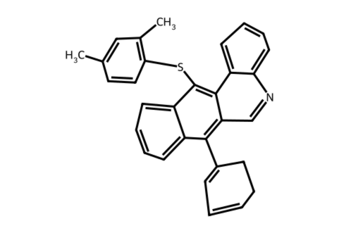 Cc1ccc(Sc2c3ccccc3c(C3=CC=CCC3)c3cnc4ccccc4c23)c(C)c1